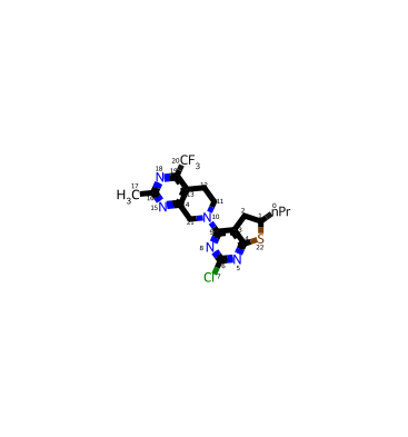 CCCC1Cc2c(nc(Cl)nc2N2CCc3c(nc(C)nc3C(F)(F)F)C2)S1